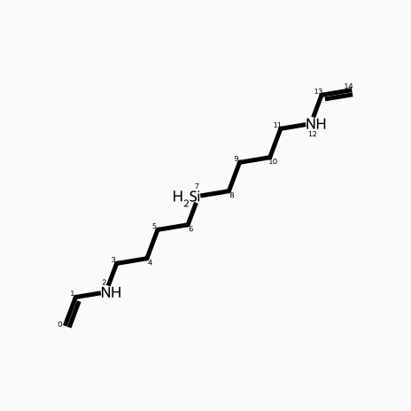 C=CNCCCC[SiH2]CCCCNC=C